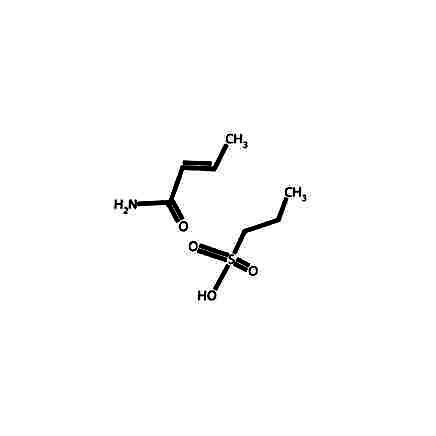 CC=CC(N)=O.CCCS(=O)(=O)O